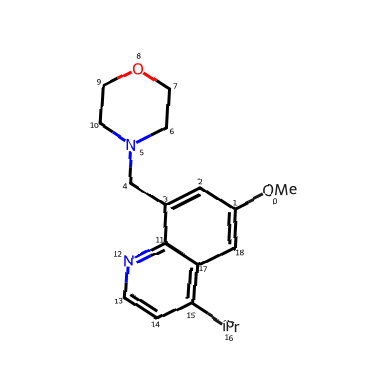 COc1cc(CN2CCOCC2)c2nccc(C(C)C)c2c1